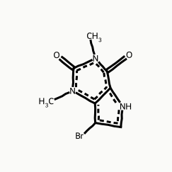 Cn1c(=O)c2[nH]cc(Br)c2n(C)c1=O